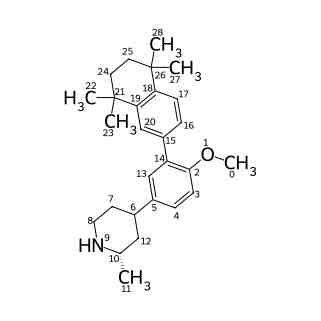 COc1ccc(C2CCN[C@@H](C)C2)cc1-c1ccc2c(c1)C(C)(C)CCC2(C)C